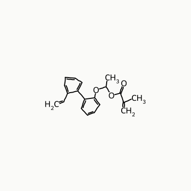 C=Cc1ccccc1-c1ccccc1OC(C)OC(=O)C(=C)C